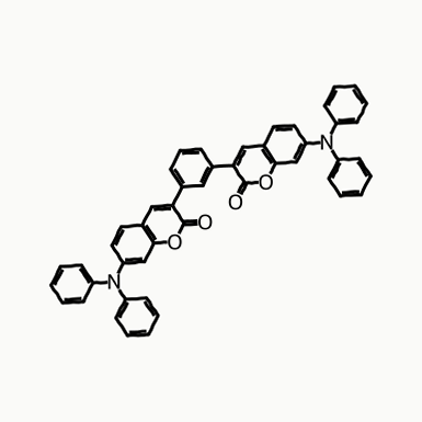 O=c1oc2cc(N(c3ccccc3)c3ccccc3)ccc2cc1-c1cccc(-c2cc3ccc(N(c4ccccc4)c4ccccc4)cc3oc2=O)c1